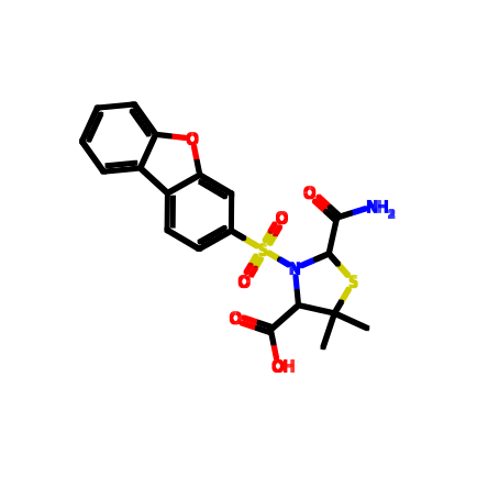 CC1(C)SC(C(N)=O)N(S(=O)(=O)c2ccc3c(c2)oc2ccccc23)C1C(=O)O